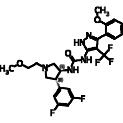 COCCN1C[C@@H](NC(=O)Nc2[nH]nc(-c3ccccc3OC)c2C(F)(F)F)[C@H](c2cc(F)cc(F)c2)C1